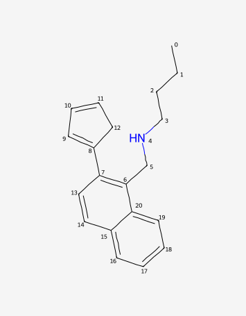 CCCCNCc1c(C2=CC=CC2)ccc2ccccc12